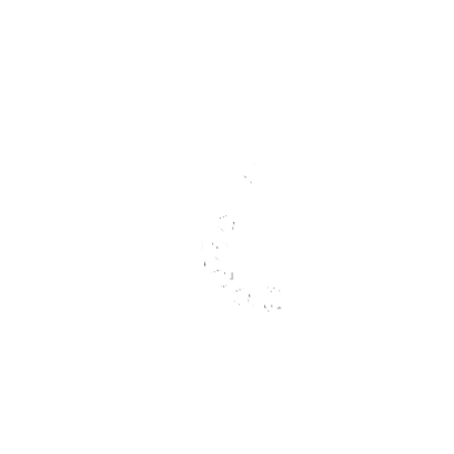 COc1ccc(C(=O)Nc2cc(NC(=O)c3ccc(OCCCN4CCOCC4)cc3)ccc2C)cc1OC